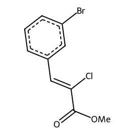 COC(=O)/C(Cl)=C/c1cccc(Br)c1